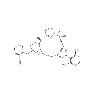 Cc1cccc(C)c1-c1cc2nc(n1)NS(=O)(=O)c1cccc(c1)C(=O)N1CCN(Cc3ccccc3C#N)C[C@@H]1CCO2